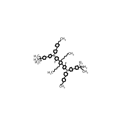 CCCCCCc1cc(-c2ccc(N(c3ccc(-c4ccc(CCC)cc4)cc3)c3ccc(-c4ccc(C(N)(CC)CC)cc4)cc3)cc2F)c(CCCCCC)cc1-c1ccc(N(c2ccc(-c3ccc(CCC)cc3)cc2)c2ccc(-c3ccc(C(C)(N)CCC)cc3)cc2)cc1F